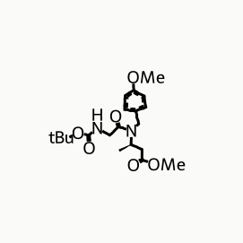 COC(=O)C[C@@H](C)N(Cc1ccc(OC)cc1)C(=O)CNC(=O)OC(C)(C)C